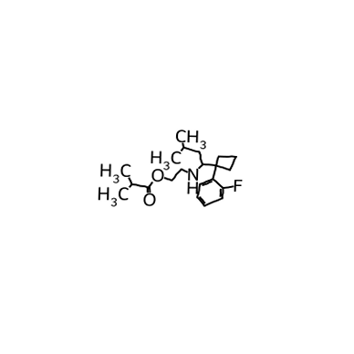 CC(C)CC(NCCOC(=O)C(C)C)C1(c2ccccc2F)CCC1